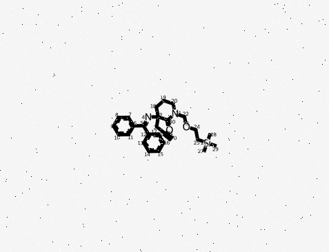 C#CCC1(N=C(c2ccccc2)c2ccccc2)CCCN(COCC[Si](C)(C)C)C1=O